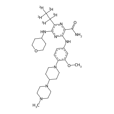 [2H]C([2H])([2H])C([2H])([2H])c1nc(C(N)=O)c(Nc2ccc(N3CCC(N4CCN(C)CC4)CC3)c(OC)c2)nc1NC1CCOCC1